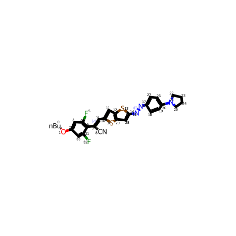 CCCCOc1cc(F)c(/C(C#N)=C/c2cc3sc(/N=N/c4ccc(N5CCCC5)cc4)cc3s2)c(F)c1